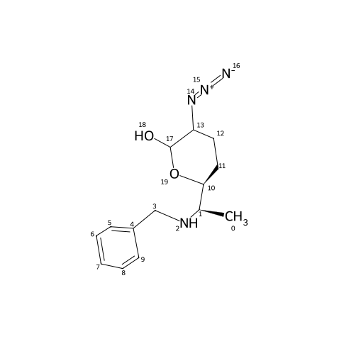 C[C@@H](NCc1ccccc1)[C@@H]1CCC(N=[N+]=[N-])C(O)O1